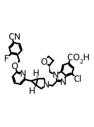 N#Cc1ccc(COc2cccc(C3[C@H]4CN(Cc5nc6c(Cl)cc(C(=O)O)cc6n5C[C@@H]5CCO5)C[C@@H]34)n2)c(F)c1